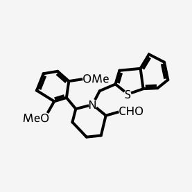 COc1cccc(OC)c1C1CCCC(C=O)N1Cc1cc2ccccc2s1